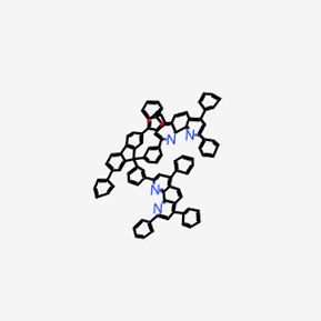 c1ccc(-c2ccc3c(c2)C(c2cccc(-c4cc(-c5ccccc5)c5ccc6c(-c7ccccc7)cc(-c7ccccc7)nc6c5n4)c2)(c2cccc(-c4cc(-c5ccccc5)c5ccc6c(-c7ccccc7)cc(-c7ccccc7)nc6c5n4)c2)c2cc(-c4ccccc4)ccc2-3)cc1